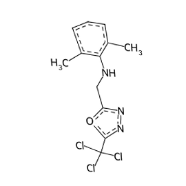 Cc1cccc(C)c1NCc1nnc(C(Cl)(Cl)Cl)o1